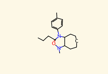 CCCC(=O)N(c1ccc(C)cc1)C1CCCCCC1N(C)C